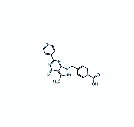 Cc1[nH]n(Cc2ccc(C(=O)O)cc2)c2nc(-c3ccncc3)nc(=O)c1-2